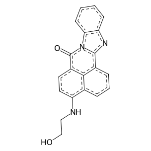 O=c1c2ccc(NCCO)c3cccc(c32)c2nc3ccccc3n12